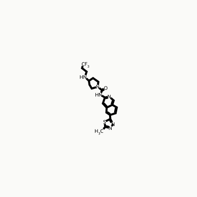 Cc1nnc(-c2ccc3cnc(NC(=O)N4CCC(NCCC(F)(F)F)CC4)cc3c2)s1